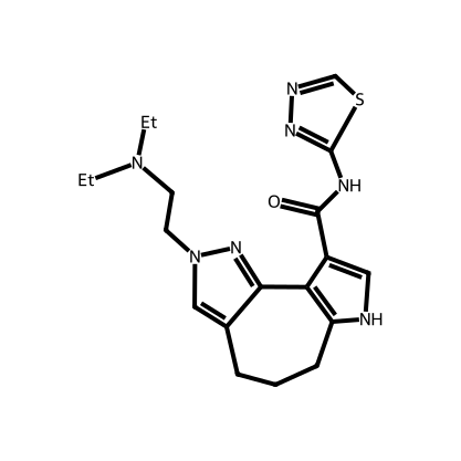 CCN(CC)CCn1cc2c(n1)-c1c(C(=O)Nc3nncs3)c[nH]c1CCC2